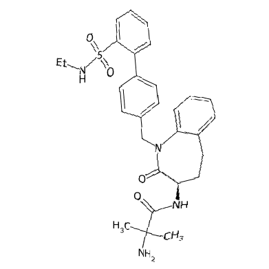 CCNS(=O)(=O)c1ccccc1-c1ccc(CN2C(=O)[C@H](NC(=O)C(C)(C)N)CCc3ccccc32)cc1